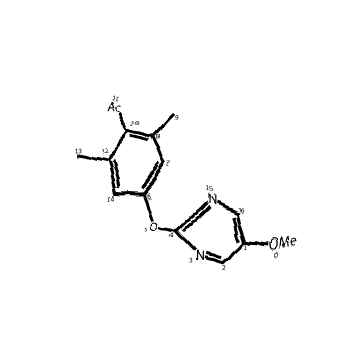 COc1cnc(Oc2cc(C)c(C(C)=O)c(C)c2)nc1